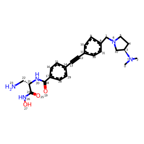 CN(C)[C@@H]1CCN(Cc2ccc(C#Cc3ccc(C(=O)N[C@@H](CN)C(=O)NO)cc3)cc2)C1